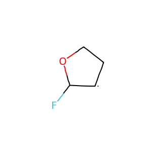 FC1[CH]CCO1